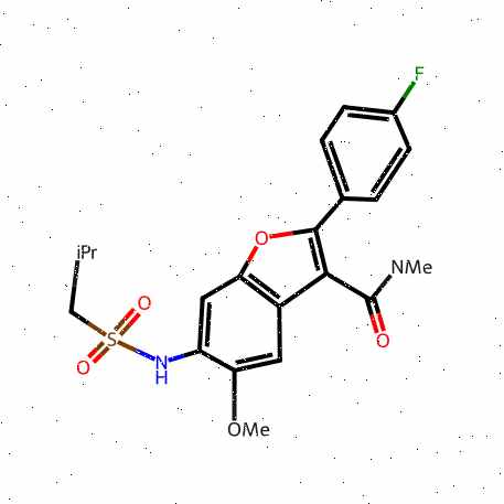 CNC(=O)c1c(-c2ccc(F)cc2)oc2cc(NS(=O)(=O)CC(C)C)c(OC)cc12